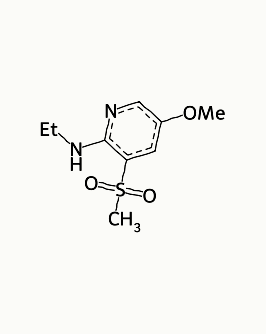 CCNc1ncc(OC)cc1S(C)(=O)=O